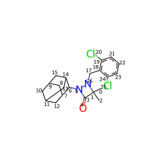 CC1(C)C(=O)N(C2C3CC4CC(C3)CC2C4)N1Cc1c(Cl)cccc1Cl